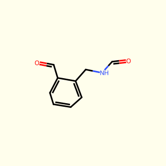 O=CNCc1ccccc1C=O